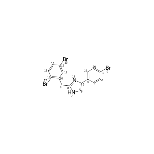 Brc1ccc(-c2c[nH]c(Cc3cc(Br)ccc3Br)n2)cc1